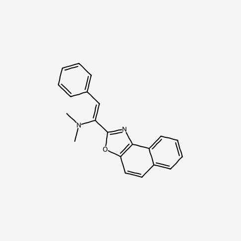 CN(C)C(=Cc1ccccc1)c1nc2c(ccc3ccccc32)o1